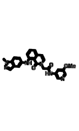 COc1cncc(NC(=O)Cn2ccc3cccc(Nc4ccc5c(cnn5C)c4)c3c2=O)c1